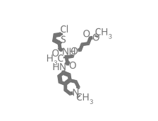 COC(=O)CCCOC[C@@](C)(NC(=O)c1ccc(Cl)s1)C(=O)Nc1ccc2c(c1)CCN(C)CC2